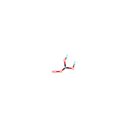 OOB(OF)OF